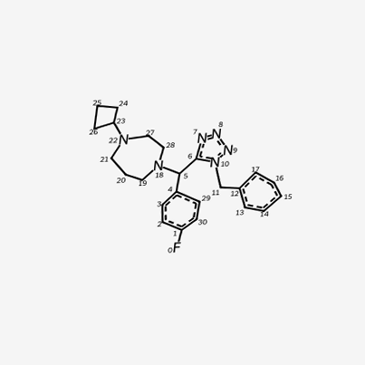 Fc1ccc(C(c2nnnn2Cc2ccccc2)N2CCCN(C3CCC3)CC2)cc1